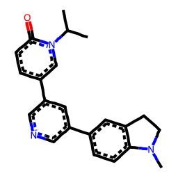 CC(C)n1cc(-c2cncc(-c3ccc4c(c3)CCN4C)c2)ccc1=O